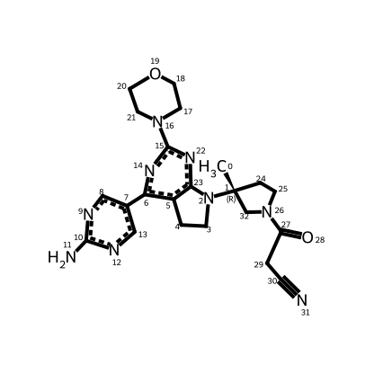 C[C@@]1(N2CCc3c(-c4cnc(N)nc4)nc(N4CCOCC4)nc32)CCN(C(=O)CC#N)C1